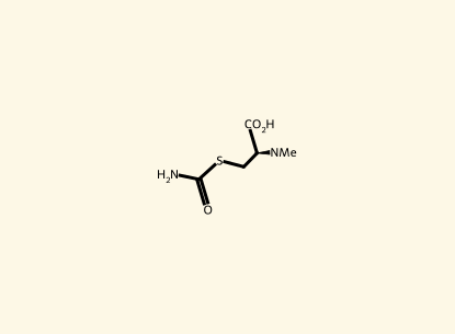 CN[C@@H](CSC(N)=O)C(=O)O